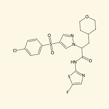 O=C(Nc1ncc(F)s1)C(CC1CCOCC1)n1cc(S(=O)(=O)c2ccc(Cl)cc2)cn1